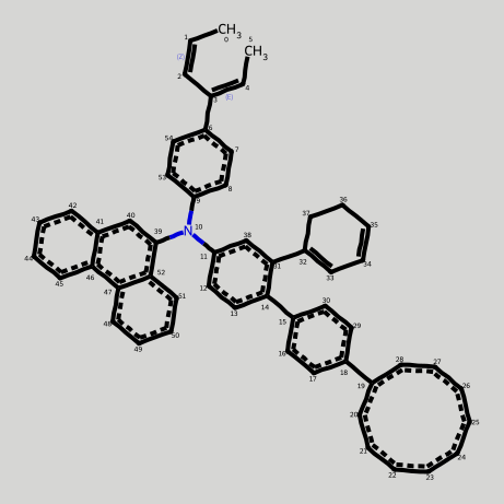 C/C=C\C(=C/C)c1ccc(N(c2ccc(-c3ccc(-c4ccccccccc4)cc3)c(C3=CC=CCC3)c2)c2cc3ccccc3c3ccccc23)cc1